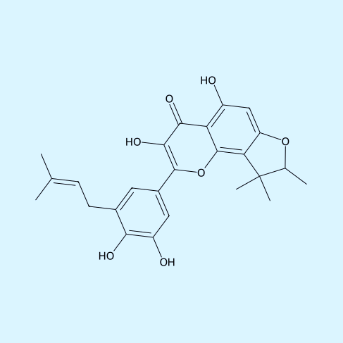 CC(C)=CCc1cc(-c2oc3c4c(cc(O)c3c(=O)c2O)OC(C)C4(C)C)cc(O)c1O